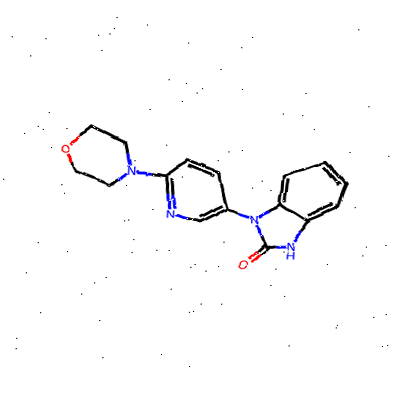 O=c1[nH]c2ccccc2n1-c1ccc(N2CCOCC2)nc1